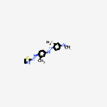 C=Nc1ccc(/N=N/c2ccc(/N=N/c3nccs3)c(C)c2)c(C)c1